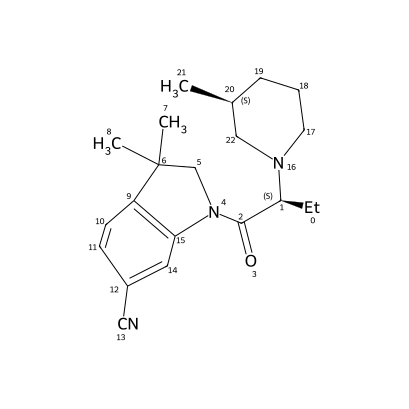 CC[C@@H](C(=O)N1CC(C)(C)c2ccc(C#N)cc21)N1CCC[C@H](C)C1